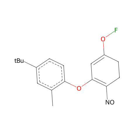 Cc1cc(C(C)(C)C)ccc1OC1=C(N=O)CCC(OF)=C1